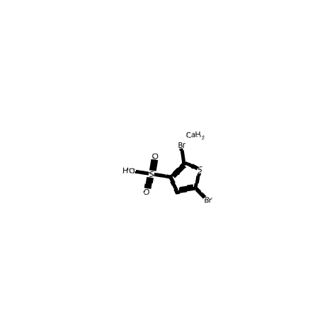 O=S(=O)(O)c1cc(Br)sc1Br.[CaH2]